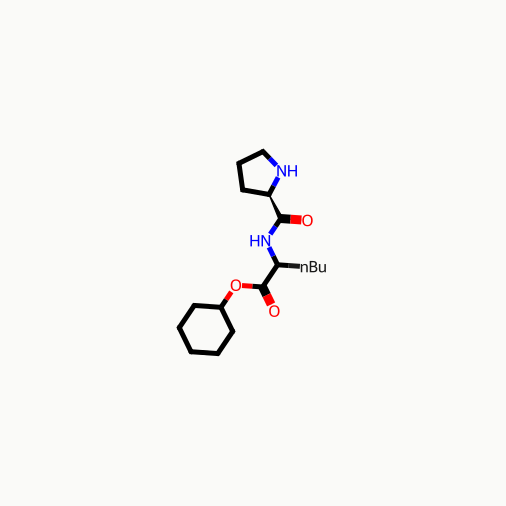 CCCCC(NC(=O)[C@H]1CCCN1)C(=O)OC1CCCCC1